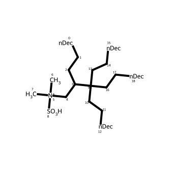 CCCCCCCCCCCCC(C[N+](C)(C)S(=O)(=O)O)C(CCCCCCCCCCCC)(CCCCCCCCCCCC)CCCCCCCCCCCC